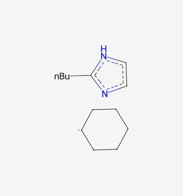 CCCCc1ncc[nH]1.[CH]1CCCCC1